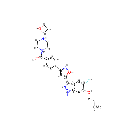 COCCOc1cc2[nH]nc(-c3cc(-c4ccc(C(=O)N5CCN(C6CCO6)CC5)cc4)no3)c2cc1F